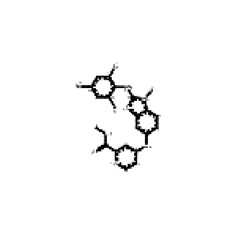 CNC(=O)c1cc(Oc2ccc3c(c2)nc(Nc2c(F)cc(Br)cc2Br)n3C)ccn1